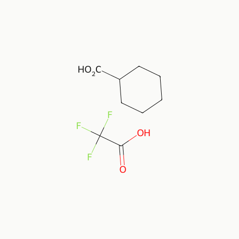 O=C(O)C(F)(F)F.O=C(O)C1CCCCC1